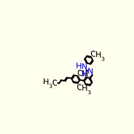 CCC/C=C/c1cc(C)c(-c2cccc3cnc(Nc4ccc(C)cc4)nc23)c(C)c1